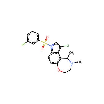 CC1c2c(ccc3c2c(Cl)cn3S(=O)(=O)c2cccc(F)c2)OCCN1C